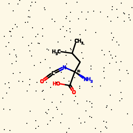 CC(C)C[C@@](N)(N=C=O)C(=O)O